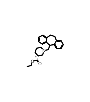 CCOC(=O)[C@@H]1CCCN(CC2c3ccccc3CCc3ccccc32)C1